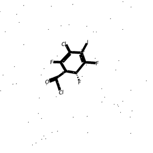 O=C(Cl)C1C(F)=C(Cl)C(I)=C(F)[C@@H]1F